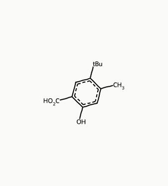 Cc1cc(O)c(C(=O)O)cc1C(C)(C)C